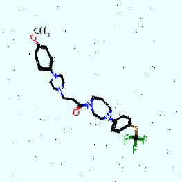 COC1=CCC(N2CCN(CCC(=O)N3CCCN(C4=CC=C(SC(F)(F)F)CC4)CC3)CC2)CC1